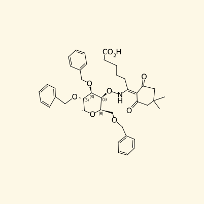 CC1(C)CC(=O)C(=C(CCCCC(=O)O)NO[C@@H]2[C@H](OCc3ccccc3)[C@@H](OCc3ccccc3)[CH]O[C@@H]2COCc2ccccc2)C(=O)C1